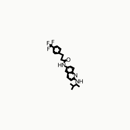 CC(C)C(C)Nc1ccc2cc(NC(=O)CCc3ccc(C(F)(F)F)cc3)ccc2n1